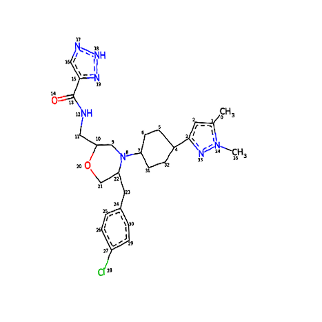 Cc1cc(C2CCC(N3CC(CNC(=O)c4cn[nH]n4)OCC3Cc3ccc(Cl)cc3)CC2)nn1C